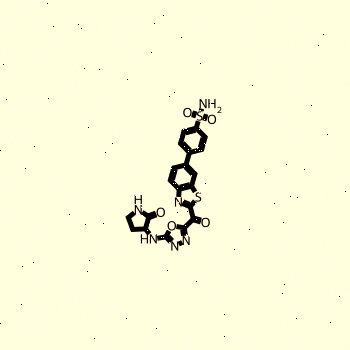 NS(=O)(=O)c1ccc(-c2ccc3nc(C(=O)c4nnc(NC5CCNC5=O)o4)sc3c2)cc1